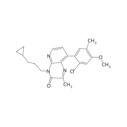 COc1cc(Cl)c(-c2ccnc3c2nc(C)c(=O)n3CCCC2CC2)cc1C